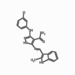 Cc1[nH]c2ccccc2c1/C=N/c1[nH]nc(Nc2cccc(Cl)c2)c1C(N)=O